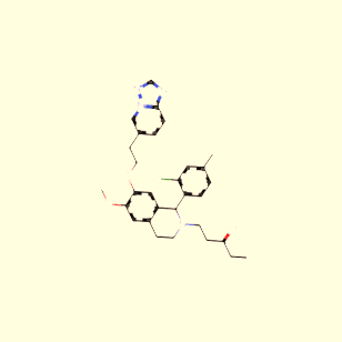 CCC(=O)CCN1CCc2cc(OC)c(OCCc3ccc4ncnn4c3)cc2C1c1ccc(C)cc1Cl